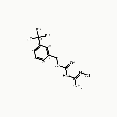 NC(=NCl)NC(=O)OCc1cccc(C(F)(F)F)c1